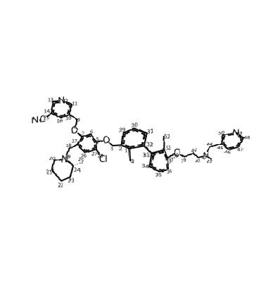 Cc1c(COc2cc(OCc3cncc(C#N)c3)c(CN3CCCC[C@H]3C)cc2Cl)cccc1-c1cccc(OCCCN(C)Cc2cccnc2)c1C